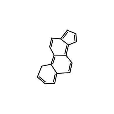 [C]1=CCc2c(ccc3c4c(ccc23)=[C]C=C4)=C1